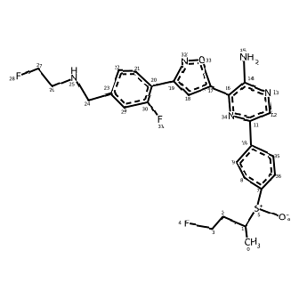 CC(CCF)[S+]([O-])c1ccc(-c2cnc(N)c(-c3cc(-c4ccc(CNCCF)cc4F)no3)n2)cc1